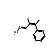 C/C(C=NO)=C(\C)c1ccccc1